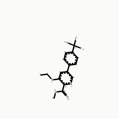 CCSc1cc(-c2ccc(C(F)(F)F)cc2)cnc1C(=O)OC